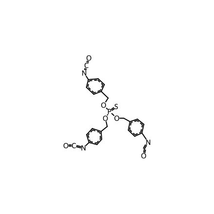 O=C=Nc1ccc(COP(=S)(OCc2ccc(N=C=O)cc2)OCc2ccc(N=C=O)cc2)cc1